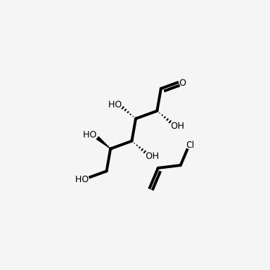 C=CCCl.O=C[C@H](O)[C@@H](O)[C@H](O)[C@H](O)CO